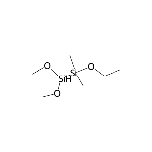 CCO[Si](C)(C)[SiH](OC)OC